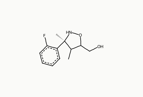 CC1C(CO)ON[C@]1(C)c1ccccc1F